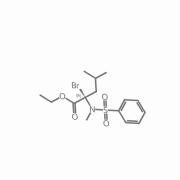 CCOC(=O)[C@](Br)(CC(C)C)N(C)S(=O)(=O)c1ccccc1